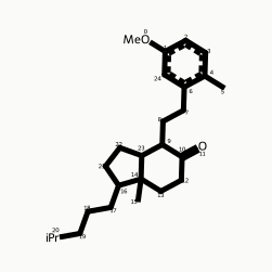 COc1ccc(C)c(CCC2C(=O)CCC3(C)C(CCCC(C)C)CCC23)c1